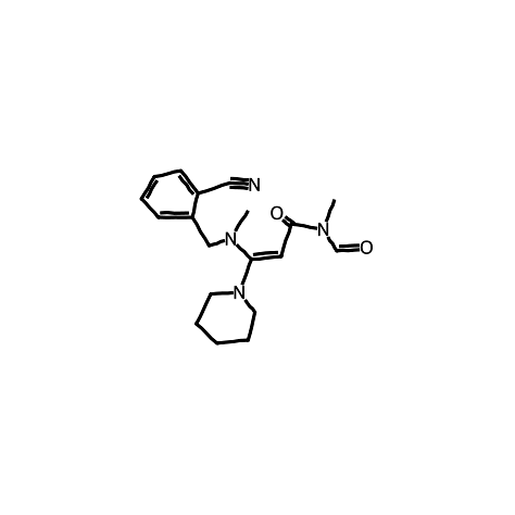 CN(C=O)C(=O)/C=C(\N(C)Cc1ccccc1C#N)N1CCCCC1